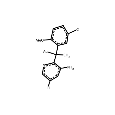 COc1ccc(Cl)cc1C(C)(C(C)=O)c1ncc(Cl)cc1N